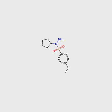 CCc1ccc(S(=O)(=O)N(N)C2CCCC2)cc1